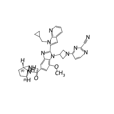 COc1cc(C(=O)N2C[C@H]3CC[C@@H]2[C@@H]3N)cc2nc(-c3cc4cccnc4n3CC3CC3)n(C3CN(c4ccnc(C#N)n4)C3)c12